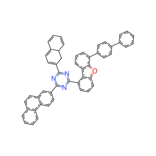 C1=CC2=CC=C(c3nc(-c4ccc5c(ccc6ccccc65)c4)nc(-c4cccc5oc6c(-c7ccc(-c8ccccc8)cc7)cccc6c45)n3)CC2C=C1